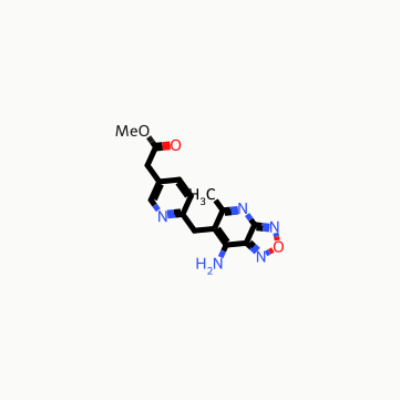 COC(=O)Cc1ccc(Cc2c(C)nc3nonc3c2N)nc1